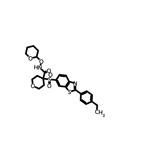 CCc1ccc(-c2nc3ccc(S(=O)(=O)C4(C(=O)NOC5CCCCO5)CCOCC4)cc3s2)cc1